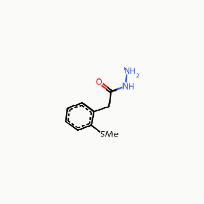 CSc1ccccc1CC(=O)NN